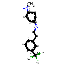 CNc1ccc(NCCc2cccc(C(F)(F)F)c2)cc1